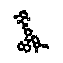 Cc1nc(C(C)N(Cc2cccc(CNC(=O)c3c(Cl)cncc3Cl)c2)C2CCCc3cccnc32)c[nH]1